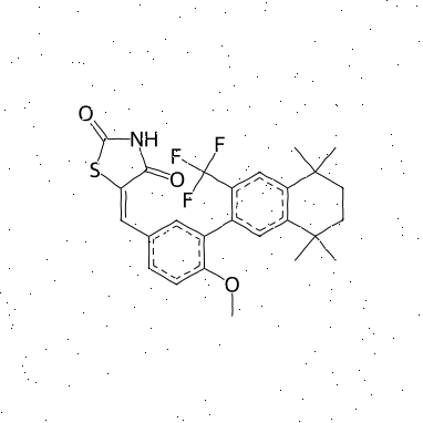 COc1ccc(C=C2SC(=O)NC2=O)cc1-c1cc2c(cc1C(F)(F)F)C(C)(C)CCC2(C)C